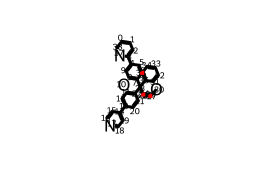 c1ccc(-c2ccc3c(c2)Oc2cc(-c4ccncc4)ccc2C32c3ccccc3Oc3ccccc32)nc1